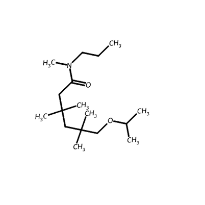 CCCN(C)C(=O)CC(C)(C)CC(C)(C)COC(C)C